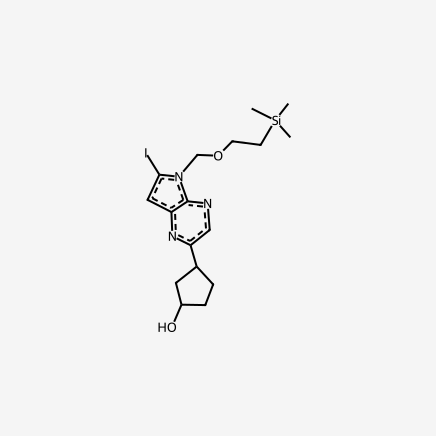 C[Si](C)(C)CCOCn1c(I)cc2nc(C3CCC(O)C3)cnc21